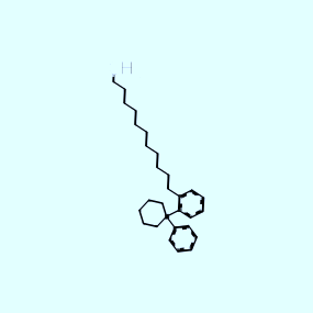 CCCCCCCCCCCCc1ccccc1C1(c2ccccc2)CCCCC1